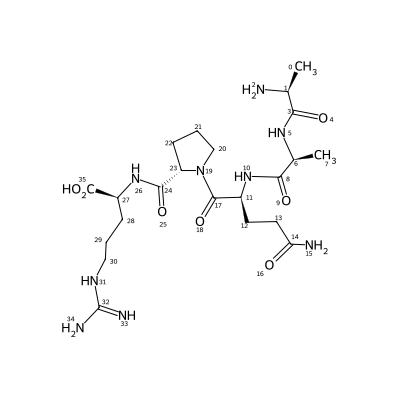 C[C@H](N)C(=O)N[C@@H](C)C(=O)N[C@@H](CCC(N)=O)C(=O)N1CCC[C@H]1C(=O)N[C@@H](CCCNC(=N)N)C(=O)O